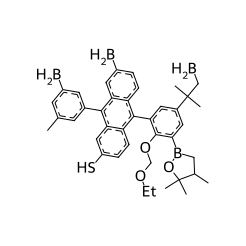 BCC(C)(C)c1cc(B2CC(C)C(C)(C)O2)c(OCOCC)c(-c2c3ccc(B)cc3c(-c3cc(B)cc(C)c3)c3cc(S)ccc23)c1